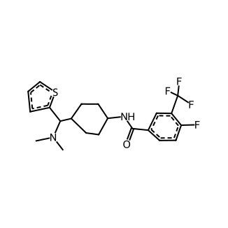 CN(C)C(c1cccs1)C1CCC(NC(=O)c2ccc(F)c(C(F)(F)F)c2)CC1